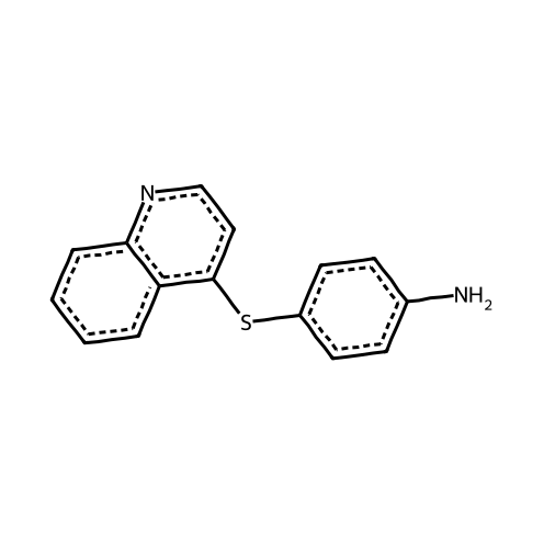 Nc1ccc(Sc2ccnc3ccccc23)cc1